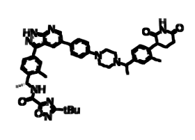 Cc1cc(C(C)N2CCN(c3ccc(-c4cnc5[nH]nc(-c6ccc([C@@H](C)NC(=O)c7nc(C(C)(C)C)no7)c(C)c6)c5c4)cc3)CC2)ccc1C1CCC(=O)NC1=O